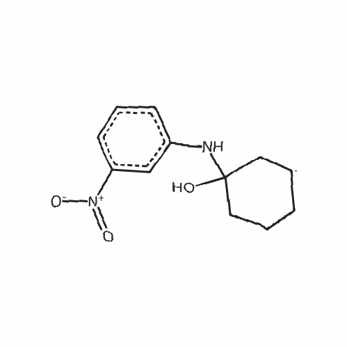 O=[N+]([O-])c1cccc(NC2(O)C[CH]CCC2)c1